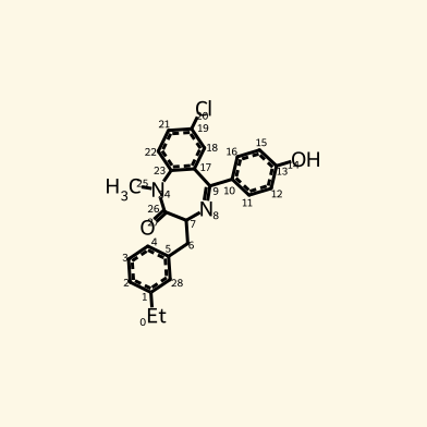 CCc1cccc(CC2N=C(c3ccc(O)cc3)c3cc(Cl)ccc3N(C)C2=O)c1